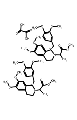 COC(=O)C(C)N1CCc2cc(OC)c(OC)cc2[C@H]1Cc1ccc(OC)c(OC)c1.COC(=O)C(C)N1CCc2cc(OC)c(OC)cc2[C@H]1Cc1ccc(OC)c(OC)c1.O=C(O)C(=O)O